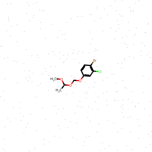 COC(C)OCOc1ccc(Br)c(Cl)c1